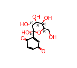 O=C1C=CC(=O)C([C@@]2(O)O[C@H](CO)[C@H](O)[C@H](O)[C@H]2O)=C1